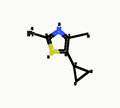 Cc1nc(C(C)C)sc1C1CC1